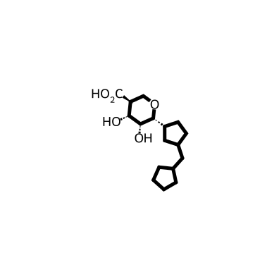 O=C(O)[C@H]1CO[C@H](C2CCC(CC3CCCC3)C2)[C@H](O)[C@@H]1O